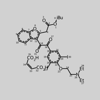 CC[C@H](C)OC(=O)Cc1oc2ccccc2c1C(=O)C(=O)c1cc(I)c(OCCN(CC)CC)c(I)c1.O=C(O)/C=C\C(=O)O